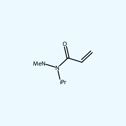 C=CC(=O)N(NC)C(C)C